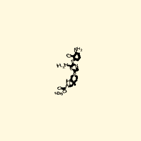 CC1(CNC(=O)OC(C)(C)C)CCN(c2cnc(Sc3cccc(N)c3Cl)c(N)n2)CC1